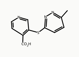 Cc1ccc(Sc2cnccc2C(=O)O)nn1